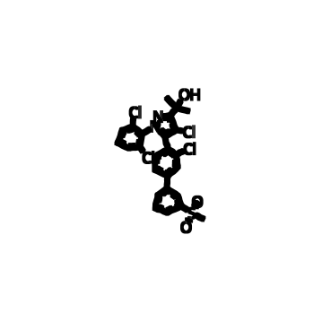 CC(C)(O)c1nn(-c2c(Cl)cccc2Cl)c(-c2ccc(-c3cccc(S(C)(=O)=O)c3)cc2Cl)c1Cl